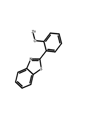 [Zn][O]c1ccccc1-c1nc2ccccc2s1